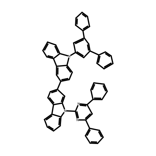 c1ccc(-c2cc(-c3ccccc3)cc(-n3c4ccccc4c4cc(-c5ccc6c7ccccc7n(-c7nc(-c8ccccc8)cc(-c8ccccc8)n7)c6c5)ccc43)c2)cc1